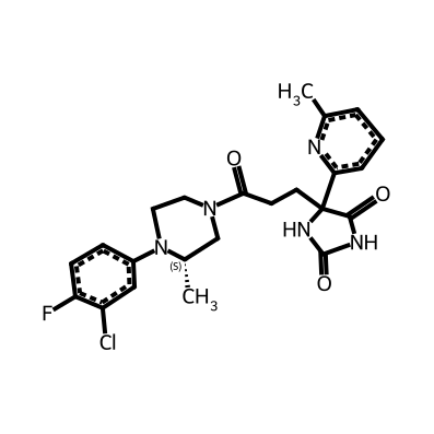 Cc1cccc(C2(CCC(=O)N3CCN(c4ccc(F)c(Cl)c4)[C@@H](C)C3)NC(=O)NC2=O)n1